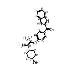 N/C(Oc1ccc(C(=O)c2nc3ccccc3[nH]2)cc1)=C(\N)[C@H]1CC[C@H](O)CC1